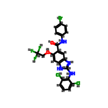 O=C(Nc1ccc(Br)cc1)c1cc2nc(Nc3c(Cl)cccc3Cl)[nH]c2cc1OCC(F)(F)F